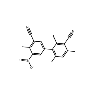 Cc1c(C#N)cc(-c2c(I)cc(I)c(C#N)c2I)cc1[N+](=O)[O-]